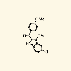 COc1ccc(C(=O)c2[nH]c3ccc(Cl)cc3c2OC(C)=O)cc1